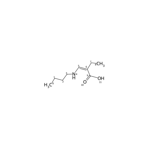 CCCCNC=C(CC)C(=O)O